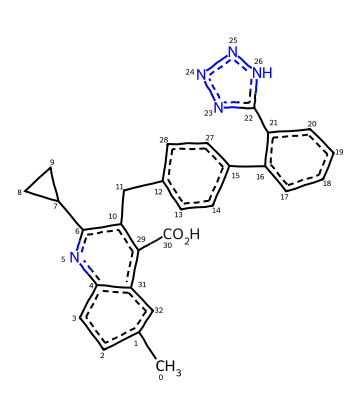 Cc1ccc2nc(C3CC3)c(Cc3ccc(-c4ccccc4-c4nnn[nH]4)cc3)c(C(=O)O)c2c1